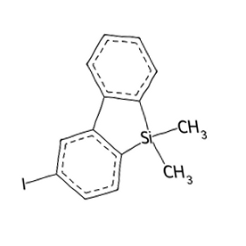 C[Si]1(C)c2ccccc2-c2cc(I)ccc21